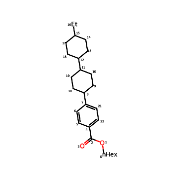 CCCCCCOC(=O)c1ccc(C2CCC(C3CCC(CC)CC3)CC2)cc1